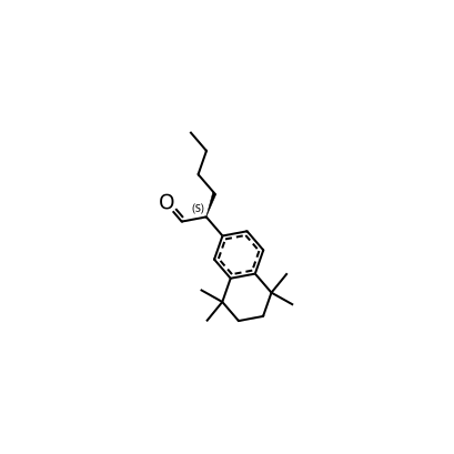 CCCC[C@H](C=O)c1ccc2c(c1)C(C)(C)CCC2(C)C